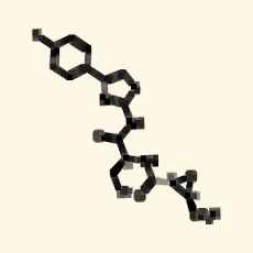 CC(C)C[C@H](NC(=O)[C@@H]1O[C@H]1C(=O)O)C(=O)Nc1nc(-c2ccc(F)cc2)cs1